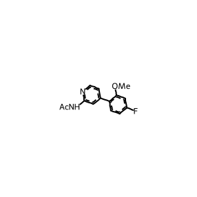 COc1cc(F)ccc1-c1ccnc(NC(C)=O)c1